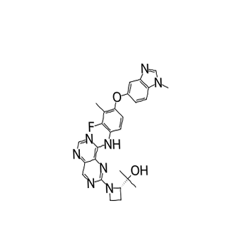 Cc1c(Oc2ccc3c(c2)ncn3C)ccc(Nc2ncnc3cnc(N4CC[C@H]4C(C)(C)O)nc23)c1F